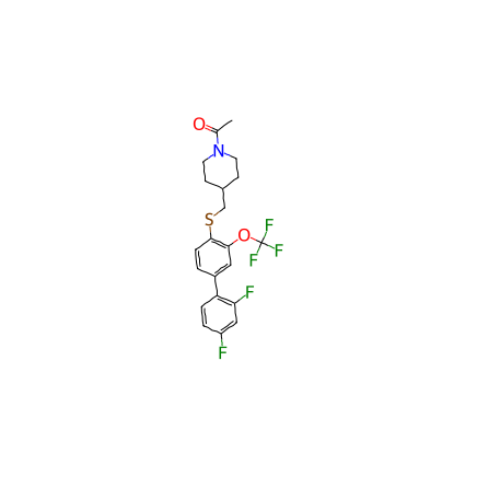 CC(=O)N1CCC(CSc2ccc(-c3ccc(F)cc3F)cc2OC(F)(F)F)CC1